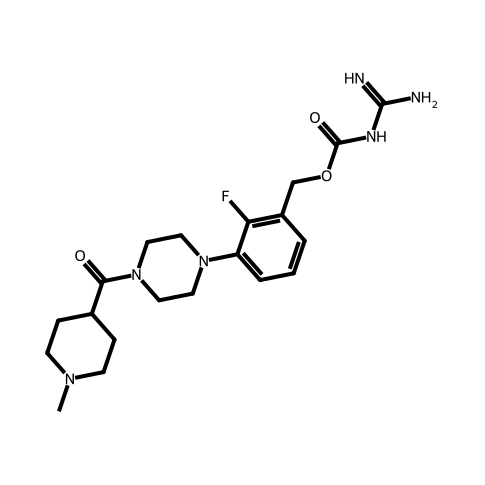 CN1CCC(C(=O)N2CCN(c3cccc(COC(=O)NC(=N)N)c3F)CC2)CC1